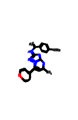 COc1ccc(C(C)Nc2nc3nc(C)cc(C4CCOCC4)n3n2)cc1